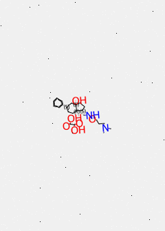 CN(C)CCCONC[C@H]1CC[C@]2(O)C[C@@H](c3ccccc3)CC[C@]12C.O=C(O)C(=O)O